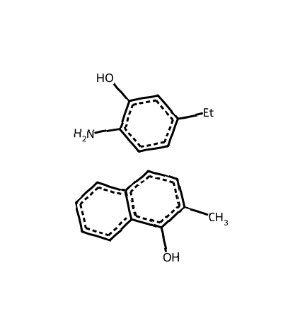 CCc1ccc(N)c(O)c1.Cc1ccc2ccccc2c1O